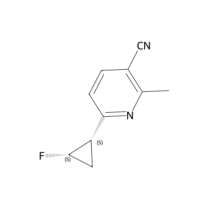 Cc1nc([C@@H]2C[C@@H]2F)ccc1C#N